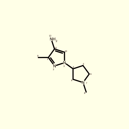 Cc1nn(C2CCN(C)C2)cc1N